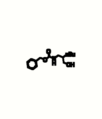 CCCCC(CO)CNC(=O)OCc1ccccc1